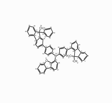 CC1(C)c2ccccc2-c2cccc(-c3ccc(N(c4ccc(-c5ccc6c(c5)C(C)(c5ccccc5)c5ccccc5-6)cc4)c4cccc5c4oc4ccccc45)cc3)c21